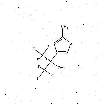 Cc1cc(C(O)(C(F)(F)F)C(F)(F)F)cs1